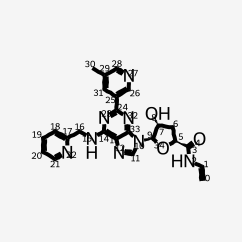 C=CNC(=O)[C@@H]1C[C@@H](O)[C@H](n2cnc3c(NCc4ccccn4)nc(-c4cncc(C)c4)nc32)O1